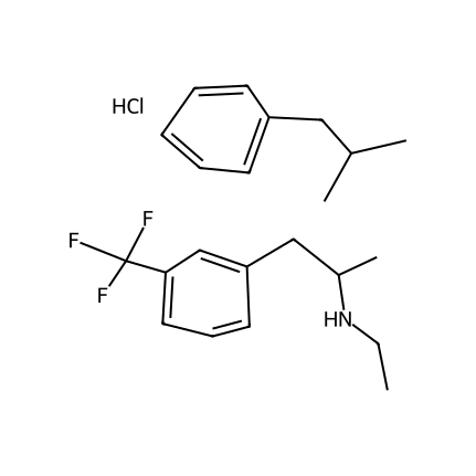 CC(C)Cc1ccccc1.CCNC(C)Cc1cccc(C(F)(F)F)c1.Cl